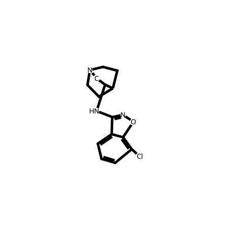 Clc1cccc2c(NC3CN4CCC3CC4)noc12